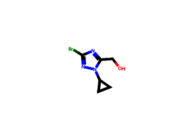 OCc1nc(Br)nn1C1CC1